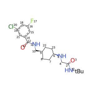 CC(C)(C)NC(=O)CN[C@H]1CC[C@@H](CNC(=O)c2cc(F)cc(Cl)c2)CC1